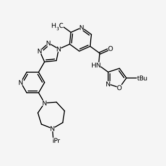 Cc1ncc(C(=O)Nc2cc(C(C)(C)C)on2)cc1-n1cc(-c2cncc(N3CCCN(C(C)C)CC3)c2)nn1